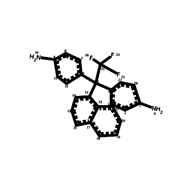 Nc1ccc(C(c2ccc(N)cc2)(c2cccc3ccccc23)C(F)(F)F)cc1